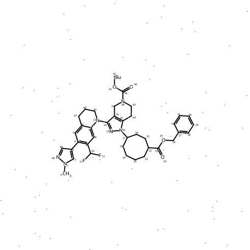 Cn1cc(-c2cc3c(cc2C(F)F)N(c2nn(C4CCCCC(C(=O)OCc5ccccc5)CC4)c4c2CN(C(=O)OC(C)(C)C)CC4)CCC3)cn1